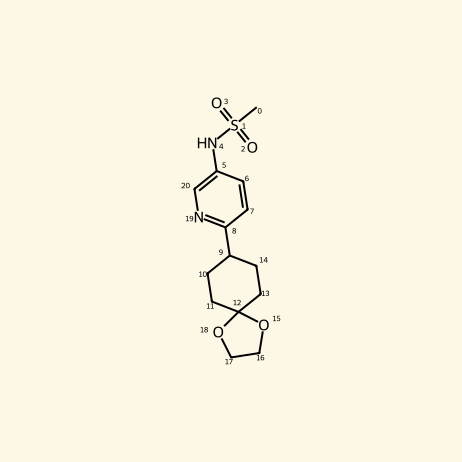 CS(=O)(=O)Nc1ccc(C2CCC3(CC2)OCCO3)nc1